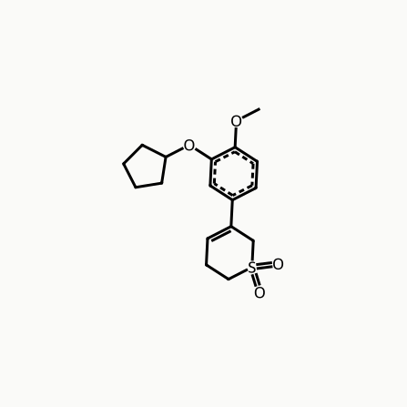 COc1ccc(C2=CCCS(=O)(=O)C2)cc1OC1CCCC1